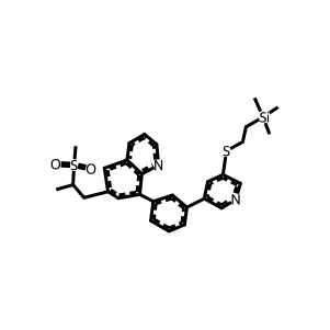 CC(Cc1cc(-c2cccc(-c3cncc(SCC[Si](C)(C)C)c3)c2)c2ncccc2c1)S(C)(=O)=O